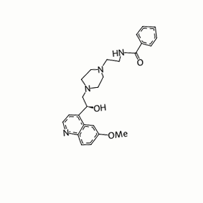 COc1ccc2nccc([C@H](O)CN3CCN(CCNC(=O)c4ccccc4)CC3)c2c1